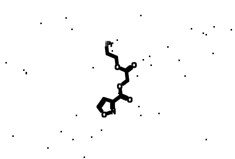 CC(C)CCOC(=O)COC(=O)c1ccon1